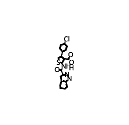 O=C(Nc1scc(-c2ccc(Cl)cc2)c1C(=O)O)c1cc2ccccc2nn1